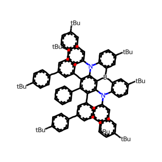 CC(C)(C)c1ccc(-c2cc(-c3ccc(C(C)(C)C)cc3)cc(-c3c(-c4ccccc4)c(-c4cc(-c5ccc(C(C)(C)C)cc5)cc(-c5ccc(C(C)(C)C)cc5)c4)c4c5c3N(c3ccc(C(C)(C)C)cc3)c3ccc(C(C)(C)C)cc3B5c3cc(C(C)(C)C)ccc3N4c3ccc(C(C)(C)C)cc3)c2)cc1